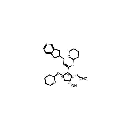 O=CC[C@H]1[C@H](C(=CCC2Cc3ccccc3C2)OC2CCCCO2)[C@H](OC2CCCCO2)C[C@H]1O